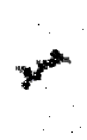 Cc1ccc(/C(=C\CN2CCCC2)c2cccc(C=CC(=O)OC(C)c3ccc(Cn4c(C)nc5cnccc54)cc3)n2)cc1